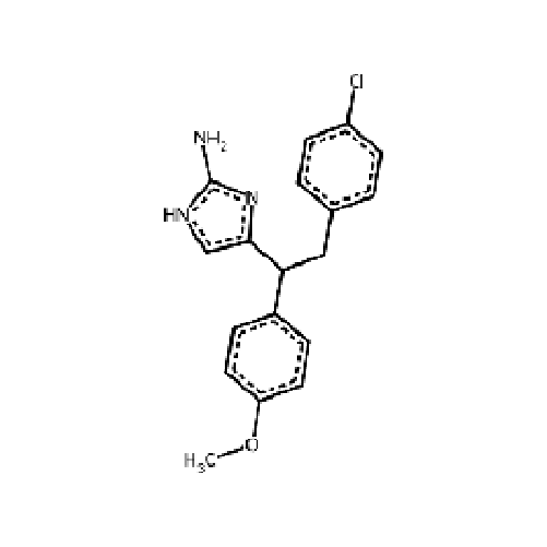 COc1ccc(C(Cc2ccc(Cl)cc2)c2c[nH]c(N)n2)cc1